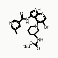 Cc1cncc(C(=O)Nc2c[nH]c3ncc(Br)c(N4CCCC(NC(=O)OC(C)(C)C)C4)c23)c1